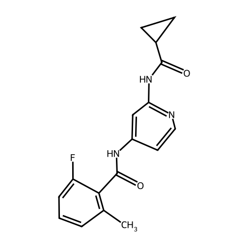 Cc1cccc(F)c1C(=O)Nc1ccnc(NC(=O)C2CC2)c1